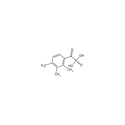 Cc1ccc(C(=O)P(=O)(O)O)c(C)c1C